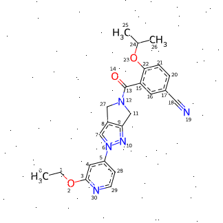 CCOc1cc(-n2cc3c(n2)CN(C(=O)c2cc(C#N)ccc2OC(C)C)C3)ccn1